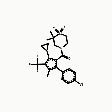 Cc1c(-c2ccc(Cl)cc2)c(C(=O)N2CCS(=O)(=O)C(C)(C)C2)n(C2CC2)c1C(F)(F)F